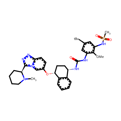 COc1c(NC(=O)N[C@H]2CC[C@@H](Oc3ccc4nnc([C@@H]5CCCCN5C)n4c3)c3ccccc32)cc(C(C)(C)C)cc1NS(C)(=O)=O